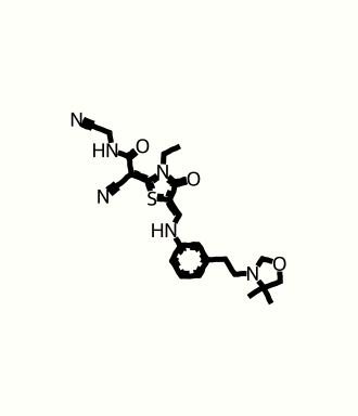 CCn1c(=C(C#N)C(=O)NCC#N)sc(=CNc2cccc(CCN3COCC3(C)C)c2)c1=O